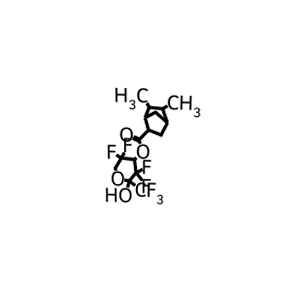 CC1C2CC(C(=O)OC3C(F)(F)COC(O)(C(F)(F)F)C3(F)F)C(C2)C1C